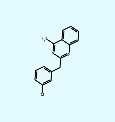 Nc1nc(Cc2cccc(Cl)c2)nc2ccccc12